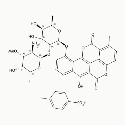 CO[C@@H]1[C@@H](N)[C@@H](O[C@H]2[C@H](Oc3cccc4c(O)c5c(=O)oc6ccc(C)c7c(=O)oc(c34)c5c67)O[C@H](C)[C@H](O)[C@]2(C)O)O[C@H](C)[C@@H]1O.Cc1ccc(S(=O)(=O)O)cc1